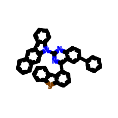 c1ccc(-c2ccc3nc(-n4c5ccccc5c5cc6ccccc6cc54)nc(-c4cccc5sc6ccccc6c45)c3c2)cc1